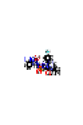 N#CC1(NC(=O)[C@H](CS(=O)(=O)CCn2c(=O)[nH]c3ccccc32)N[C@@H](c2ccc(F)cc2)C(F)(F)F)CC1